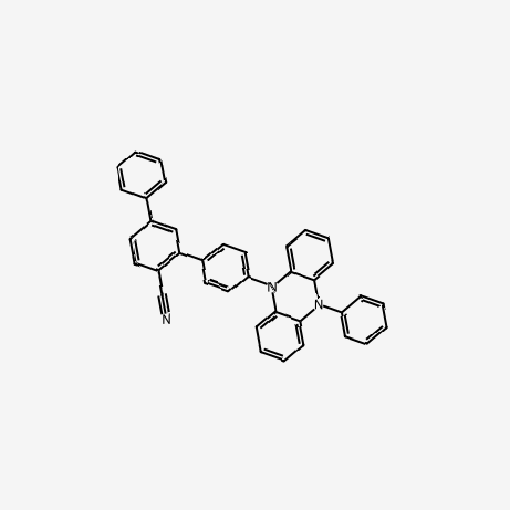 N#Cc1ccc(-c2ccccc2)cc1-c1ccc(N2c3ccccc3N(c3ccccc3)c3ccccc32)cc1